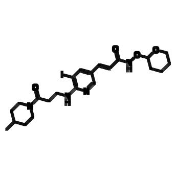 CC1CCN(C(=O)CCNc2ncc(/C=C/C(=O)NOC3CCCCO3)cc2I)CC1